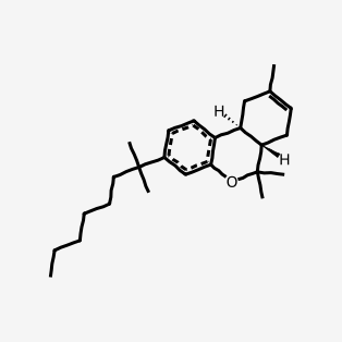 CCCCCCC(C)(C)c1ccc2c(c1)OC(C)(C)[C@H]1CC=C(C)C[C@H]21